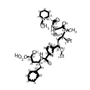 CCO[C@H](C[C@H](C(C)C)N(C)C(=O)[C@@H](NC(=O)[C@H]1CCCCN1C)[C@@H](C)CC)c1nc(C(=O)N[C@@H](Cc2ccccc2)C[C@H](C)C(=O)O)cs1